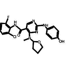 CN(c1nc(Nc2ccc(O)cc2)ncc1C(=O)Nc1c(F)cccc1Cl)C1CCCO1